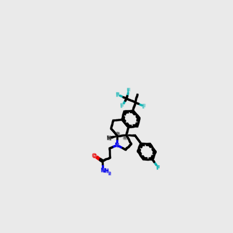 CC(F)(c1ccc2c(c1)CC[C@H]1N(CCC(N)=O)CC[C@@]21Cc1ccc(F)cc1)C(F)(F)F